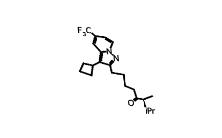 CC(C)[C@H](C)C(=O)CCCCc1nn2ccc(C(F)(F)F)cc2c1C1CCC1